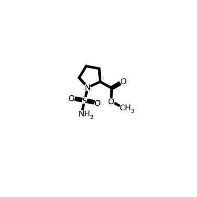 COC(=O)C1CCCN1S(N)(=O)=O